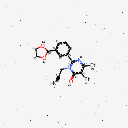 C#CCn1c(-c2cccc(C3OCCO3)c2)nc(CC)c(CC)c1=O